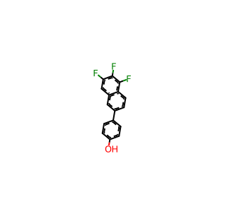 Oc1ccc(-c2ccc3c(F)c(F)c(F)cc3c2)cc1